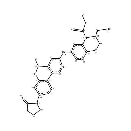 CCC(=O)N1c2cc(Nc3cc4c(cn3)-c3ccc(N5CCCC5=O)cc3OC4C)cnc2OC[C@@H]1CO